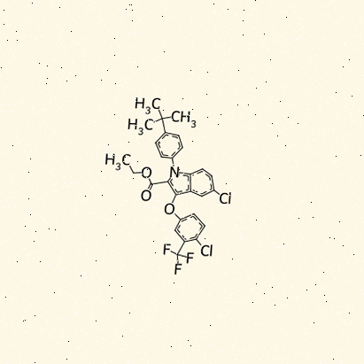 CCOC(=O)c1c(Oc2ccc(Cl)c(C(F)(F)F)c2)c2cc(Cl)ccc2n1-c1ccc(C(C)(C)C)cc1